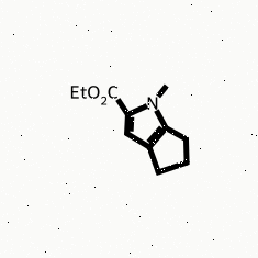 CCOC(=O)c1cc2c(n1C)CCC2